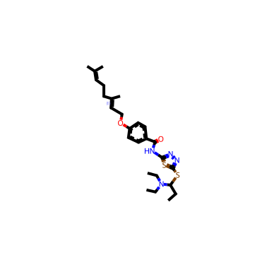 CCC(Sc1nnc(NC(=O)c2ccc(OC/C=C(\C)CCC=C(C)C)cc2)s1)N(CC)CC